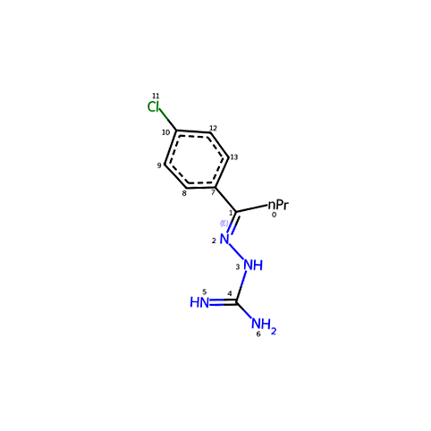 CCC/C(=N\NC(=N)N)c1ccc(Cl)cc1